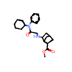 COC(=O)C1CC2CC(NCC(=O)N(c3ccccc3)C3CCCCC3)C1C2